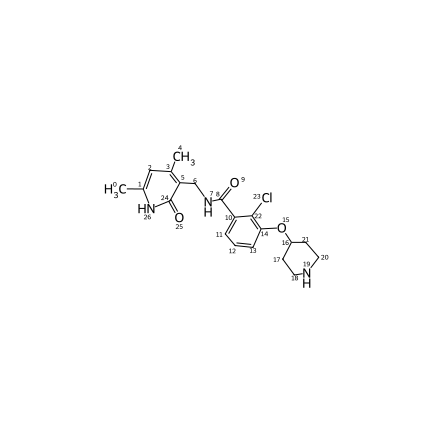 Cc1cc(C)c(CNC(=O)c2cccc(OC3CCNCC3)c2Cl)c(=O)[nH]1